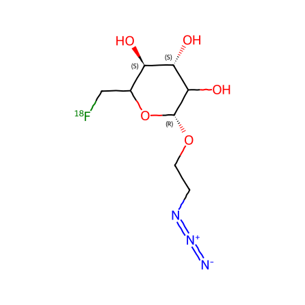 [N-]=[N+]=NCCO[C@@H]1OC(C[18F])[C@@H](O)[C@H](O)C1O